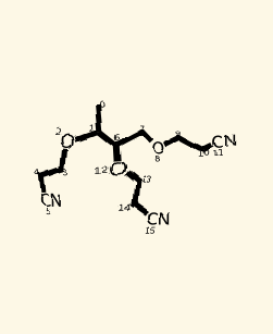 CC(OCCC#N)C(COCCC#N)OCCC#N